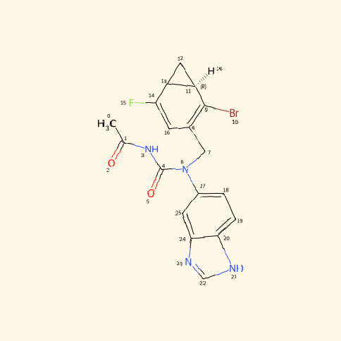 CC(=O)NC(=O)N(CC1=C(Br)[C@@H]2CC2C(F)=C1)c1ccc2[nH]cnc2c1